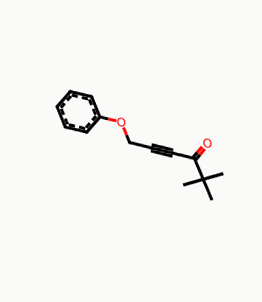 CC(C)(C)C(=O)C#CCOc1ccccc1